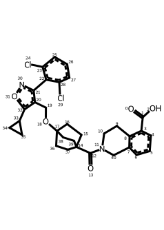 O=C(O)c1cccc2c1CCN(C(=O)C13CCC(OCc4c(-c5c(Cl)cccc5Cl)noc4C4CC4)(CC1)CC3)C2